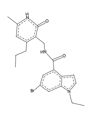 CCCc1cc(C)[nH]c(=O)c1CNC(=O)c1cc(Br)cc2c1ccn2CC